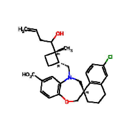 C=CCC(O)[C@@]1(C)CC[C@H]1CN1C[C@@]2(CCCc3cc(Cl)ccc32)COc2ccc(C(=O)O)cc21